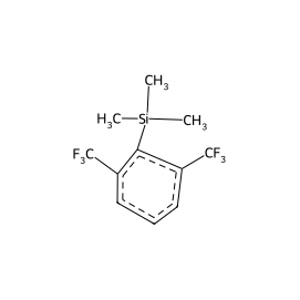 C[Si](C)(C)c1c(C(F)(F)F)cccc1C(F)(F)F